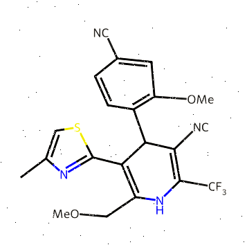 [C-]#[N+]C1=C(C(F)(F)F)NC(COC)=C(c2nc(C)cs2)C1c1ccc(C#N)cc1OC